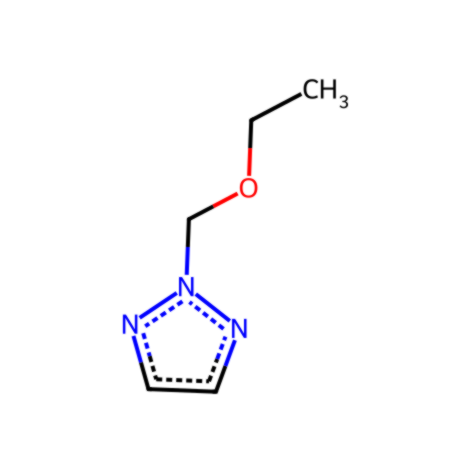 CCOCn1nccn1